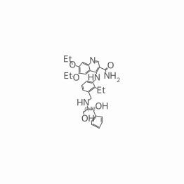 CCOc1cc2ncc(C(N)=O)c(Nc3cccc(CN[C@H](CO)[C@H](O)c4ccccc4)c3CC)c2cc1OCC